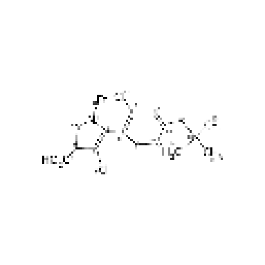 CCn1nc(C(=O)O)c(Cl)c1-c1ccc(CC(C)(C)C(F)(F)F)cc1Cl